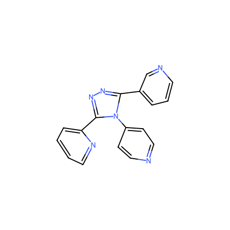 c1ccc(-c2nnc(-c3cccnc3)n2-c2ccncc2)nc1